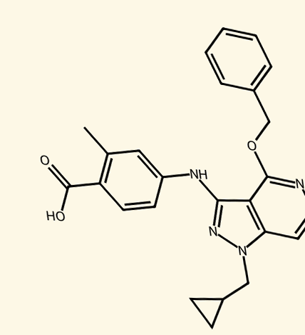 Cc1cc(Nc2nn(CC3CC3)c3ccnc(OCc4ccccc4)c23)ccc1C(=O)O